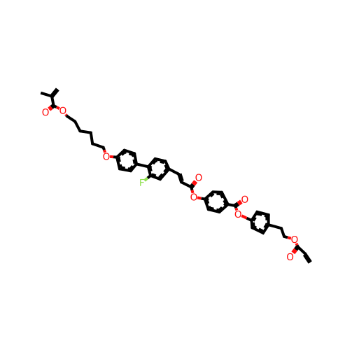 C=CC(=O)OCCc1ccc(OC(=O)c2ccc(OC(=O)/C=C/c3ccc(-c4ccc(OCCCCCCOC(=O)C(=C)C)cc4)c(F)c3)cc2)cc1